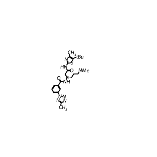 CNCCC[C@@H](CC(=O)Nc1nc(C)c(C(C)(C)C)s1)NC(=O)c1cccc(-n2nnc(C)n2)c1